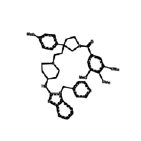 COc1ccc(C2(CCN3CCC(Nc4nc5ccccc5n4Cc4ccncc4)CC3)CCN(C(=O)c3cc(OC)c(OC)c(OC)c3)C2)cc1